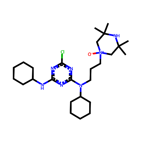 CC1(C)C[N+]([O-])(CCCN(c2nc(Cl)nc(NC3CCCCC3)n2)C2CCCCC2)CC(C)(C)N1